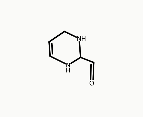 O=CC1NC=CCN1